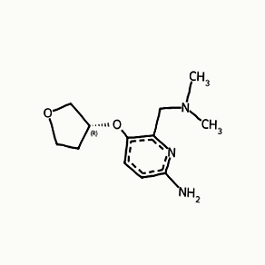 CN(C)Cc1nc(N)ccc1O[C@@H]1CCOC1